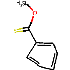 [SiH3]OC(=S)c1ccccc1